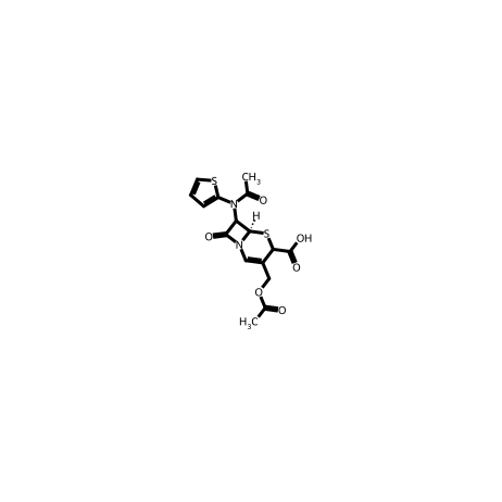 CC(=O)OCC1=CN2C(=O)C(N(C(C)=O)c3cccs3)[C@H]2SC1C(=O)O